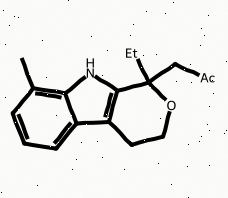 CCC1(CC(C)=O)OCCc2c1[nH]c1c(C)cccc21